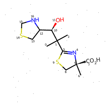 CC(C)(C1=N[C@@](C)(C(=O)O)CS1)[C@H](O)C1CSCN1